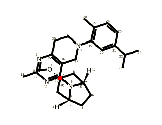 CO[C@H]1C[C@H]2CC[C@@H](C1)N2c1nc(C)nc2c1CN(c1cc(C(C)C)ccc1C)CC2